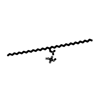 CCCCCCCCCCCCCCCCCCC(CCCCCCCCCCCCCCCCCC)CN(C)C.COS(=O)(=O)O